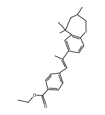 CCOC(=O)c1ccc(C=C(C)c2ccc3c(c2)C(C)(C)CC(C)CS3)cc1